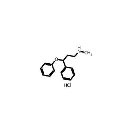 CNCCC(Oc1ccccc1)c1ccccc1.Cl